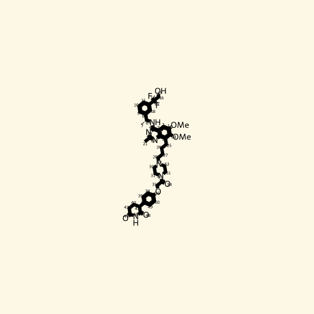 COc1cc2c(N[C@H](C)c3cccc(C(F)(F)CO)c3)nc(C)nc2c(CCCCN2CCN(C(=O)COc3ccc(C4CCC(=O)NC4=O)cc3)CC2)c1OC